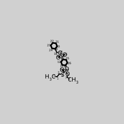 CCCSP(=O)(OCC)Oc1ccc(S(=O)(=O)OCc2ccccc2)cc1